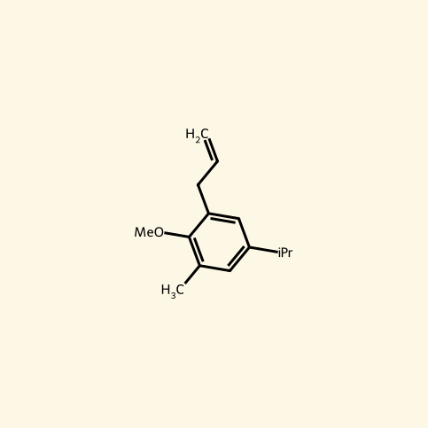 C=CCc1cc(C(C)C)cc(C)c1OC